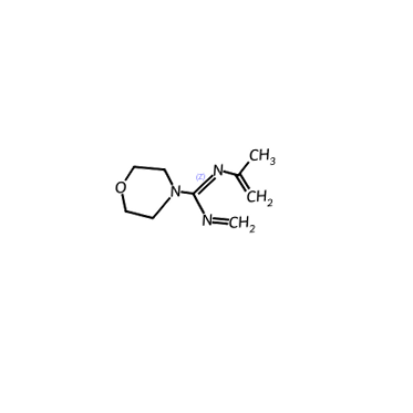 C=N/C(=N\C(=C)C)N1CCOCC1